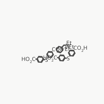 CC[N+](CC)(CC)Cc1ccccc1.O=C(O)c1ccc(Sc2ccc(C(=O)O)cc2)cc1.O=C([O-])c1ccc(Sc2ccc(C(=O)O)cc2)cc1